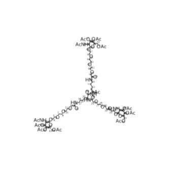 CC(=O)N[C@H]1[C@H](OCCOCCOCCOCC(=O)NCCCC[C@H](NC(=O)COCCOCCOCCO[C@@H]2O[C@H](COC(C)=O)[C@H](OC(C)=O)[C@H](OC(C)=O)[C@H]2NC(C)=O)C(=O)N[C@@H](CCCCNC(=O)COCCOCCOCCOC2O[C@H](COC(C)=O)[C@H](OC(C)=O)[C@H](OC(C)=O)[C@H]2NC(C)=O)C(C)=O)O[C@H](COC(C)=O)[C@H](OC(C)=O)[C@@H]1OC(C)=O